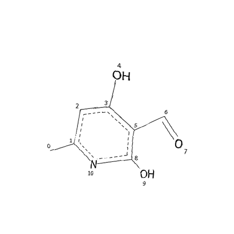 Cc1cc(O)c(C=O)c(O)n1